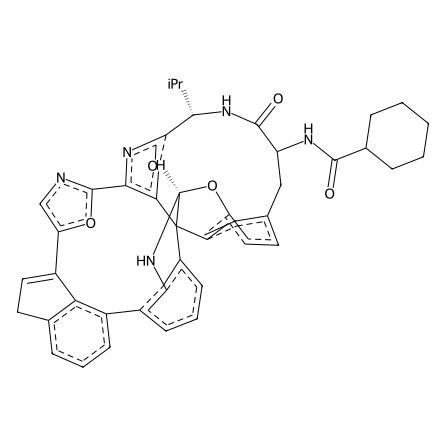 CC(C)[C@@H]1NC(=O)C(NC(=O)C2CCCCC2)Cc2ccc3c(c2)C24c5cccc(c5N[C@H]2O3)-c2cccc3c2C(=CC3)c2cnc(o2)-c2nc1oc24